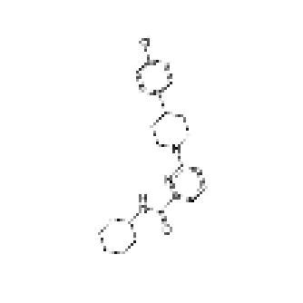 O=C(NC1CCCCC1)c1cccc(N2CCC(c3ccc(Cl)cc3)CC2)n1